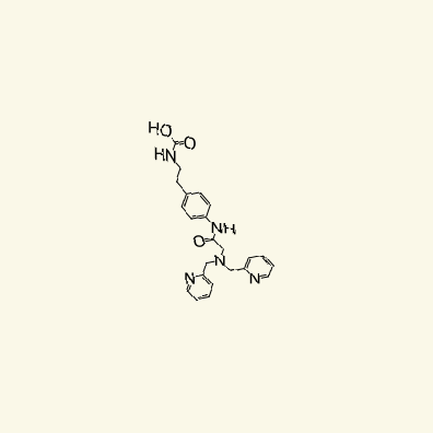 O=C(O)NCCc1ccc(NC(=O)CN(Cc2ccccn2)Cc2ccccn2)cc1